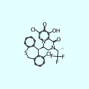 C[C@@H](N1CC([C@@H]2c3ccccc3SCc3cccc(Cl)c32)n2cc(Cl)c(=O)c(O)c2C1=O)C(F)(F)F